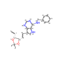 C=C[C@H]1OC(C)(C)O[C@H]1/C=C/c1c[nH]c2c(NCc3ccccc3)ncnc12